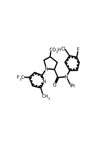 Cc1cc(C(F)(F)F)cc(N2CC(C(=O)O)CC2C(=O)N(c2ccc(F)c(Cl)c2)C(C)C)n1